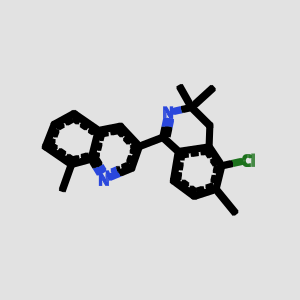 Cc1ccc2c(c1Cl)CC(C)(C)N=C2c1cnc2c(C)cccc2c1